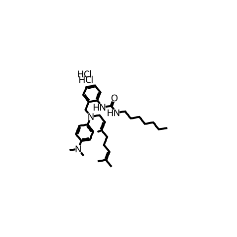 CCCCCCCNC(=O)Nc1ccccc1CN(CC=C(C)CCC=C(C)C)c1ccc(N(C)C)cc1.Cl.Cl